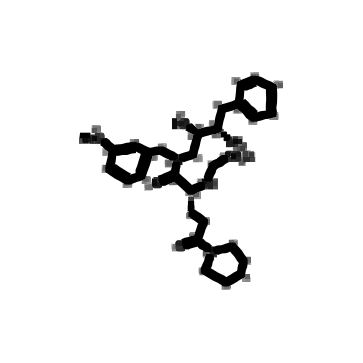 CCOC(=O)CN[C@H](CCC(=O)N1CCCCC1)C(=O)N(Cc1cccc(OC)c1)C[C@@H](O)[C@@H](N)Cc1ccccc1